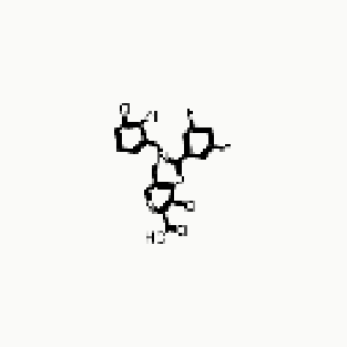 O=C(O)c1ncc(CN(Cc2cccc(Cl)c2Cl)C(=O)c2cc(F)cc(F)c2)cc1Cl